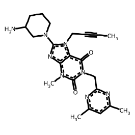 CC#CCn1c(N2CCCC(N)C2)nc2c1c(=O)n(Cc1nc(C)cc(C)n1)c(=O)n2C